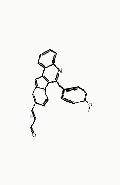 COc1ccc(-c2nc3ccccc3c3cc4cc(/C=C/C=O)ccn4c23)cc1